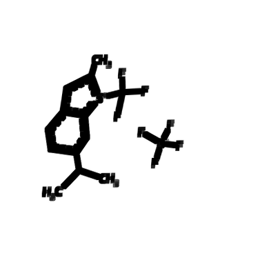 Cc1cc2ccc(C(C)C)cc2[s+]1C(F)(F)F.F[B-](F)(F)F